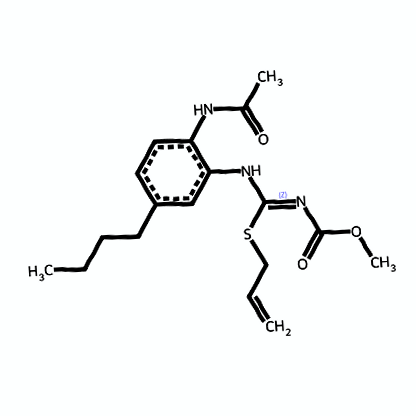 C=CCS/C(=N\C(=O)OC)Nc1cc(CCCC)ccc1NC(C)=O